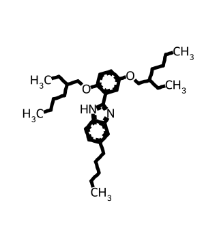 CCCCCc1ccc2[nH]c(-c3cc(OCC(CC)CCCC)ccc3OCC(CC)CCCC)nc2c1